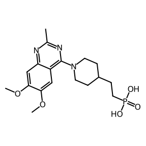 COc1cc2nc(C)nc(N3CCC(CCP(=O)(O)O)CC3)c2cc1OC